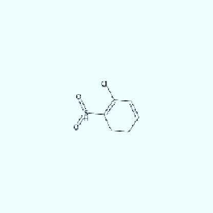 O=[SH](=O)C1=C(Cl)C=CCC1